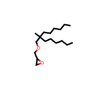 CCCCCCC(C)(CCCCCC)COCC1CO1